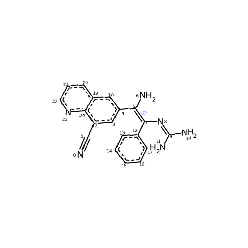 N#Cc1cc(/C(N)=C(/N=C(N)N)c2ccccc2)cc2cccnc12